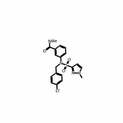 CNC(=O)c1cccc(N(Cc2ccc(Cl)cc2)S(=O)(=O)c2ccn(C)n2)c1